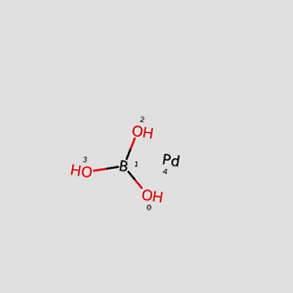 OB(O)O.[Pd]